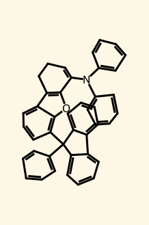 C1=C(N(c2ccccc2)c2ccccc2)c2oc3c(C4(c5ccccc5)c5ccccc5-c5ccccc54)cccc3c2CC1